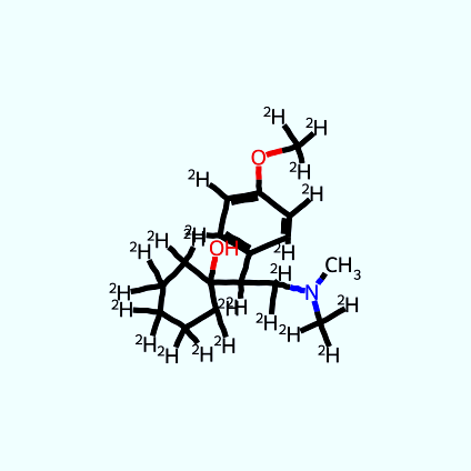 [2H]c1c([2H])c(C([2H])(C([2H])([2H])N(C)C([2H])([2H])[2H])C2(O)C([2H])([2H])C([2H])([2H])C([2H])([2H])C([2H])([2H])C2([2H])[2H])c([2H])c([2H])c1OC([2H])([2H])[2H]